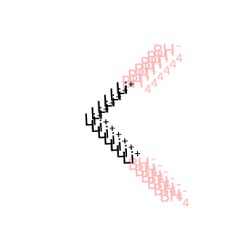 [BH4-].[BH4-].[BH4-].[BH4-].[BH4-].[BH4-].[BH4-].[BH4-].[BH4-].[BH4-].[BH4-].[BH4-].[Li+].[Li+].[Li+].[Li+].[Li+].[Li+].[Li+].[Li+].[Li+].[Li+].[Li+].[Li+]